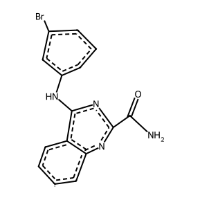 NC(=O)c1nc(Nc2cccc(Br)c2)c2cc[c]cc2n1